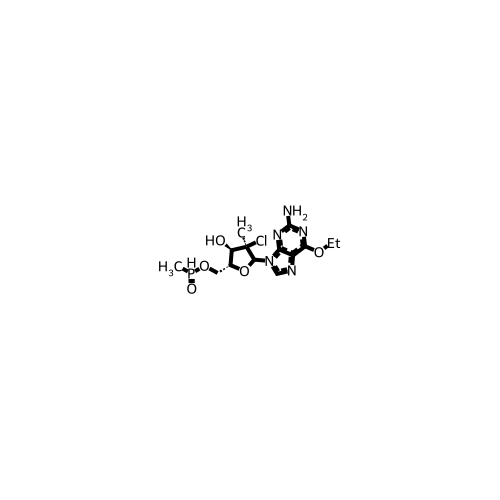 CCOc1nc(N)nc2c1ncn2C1O[C@H](CO[PH](C)=O)[C@@H](O)[C@@]1(C)Cl